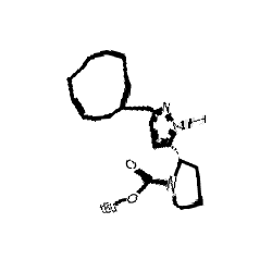 CC(C)(C)OC(=O)N1CCC[C@H]1c1cc(C2C/C=C\CCCCC2)n[nH]1